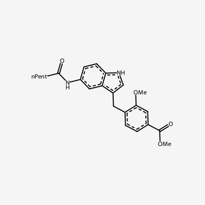 CCCCCC(=O)Nc1ccc2[nH]cc(Cc3ccc(C(=O)OC)cc3OC)c2c1